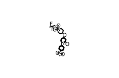 CC(F)(F)CS(=O)(=O)N1CCC(Oc2ccn(-c3ccc(S(C)(=O)=O)cc3)c(=O)c2)CC1